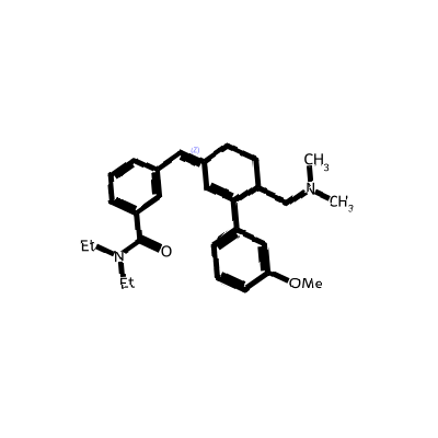 CCN(CC)C(=O)c1cccc(/C=C2\C=C(c3cccc(OC)c3)C(CN(C)C)CC2)c1